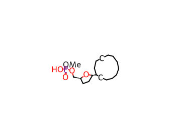 COP(=O)(O)OC[C@@H]1CC[C@H](C2CCCCCCCCCCC2)O1